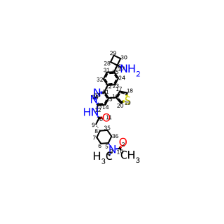 CC(=O)N(C)[C@H]1CC[C@H](CC(=O)Nc2cc(-c3ccsc3)c(-c3ccc(C4(N)CCC4)cc3)nn2)CC1